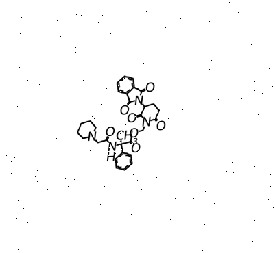 C[C@@](NC(=O)CN1CCCCC1)(C(=O)OCN1C(=O)CCC(N2C(=O)c3ccccc3C2=O)C1=O)c1ccccc1